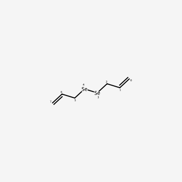 C=CC[Se][Se]CC=C